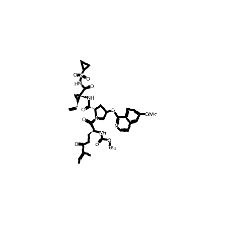 C=C[C@@H]1C[C@]1(NC(=O)[C@@H]1CC(Oc2nccc3cc(OC)ccc23)CN1C(=O)[C@H](CCC(=O)/C(C)=C/C)NC(=O)OC(C)(C)C)C(=O)NS(=O)(=O)C1CC1